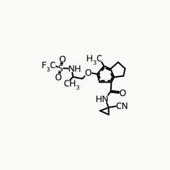 Cc1c(OCC(C)NS(=O)(=O)C(F)(F)F)cc(C(=O)NC2(C#N)CC2)c2c1CCC2